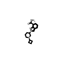 NC(=O)c1cccc2cn(C3CCCN(C4CCC4)C3)nc12